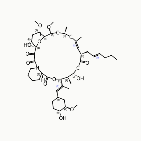 CCC/C=C/C[C@@H]1/C=C(\C)C[C@H](C)C[C@H](OC)[C@H]2O[C@@](O)(C(=O)C(=O)N3CCCC[C@H]3C(=O)O[C@H](/C(C)=C/[C@@H]3CC[C@@H](O)[C@H](OC)C3)[C@H](C)[C@@H](O)CC1=O)[C@H](C)C[C@@H]2OC